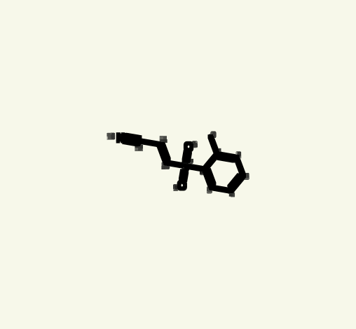 Cc1ccccc1S(=O)(=O)C=CC#N